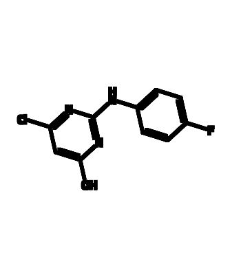 Oc1cc(Cl)nc(Nc2ccc(F)cc2)n1